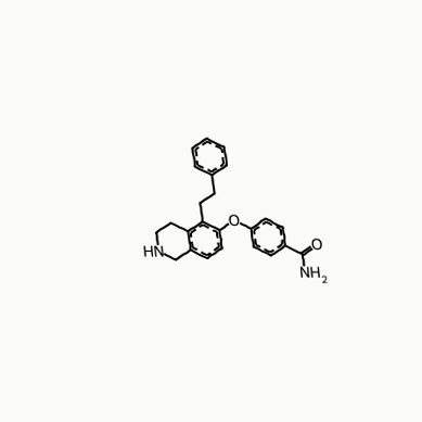 NC(=O)c1ccc(Oc2ccc3c(c2CCc2ccccc2)CCNC3)cc1